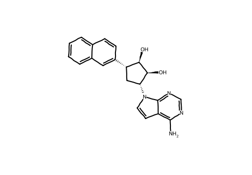 Nc1ncnc2c1ccn2[C@@H]1C[C@H](c2ccc3ccccc3c2)[C@@H](O)[C@H]1O